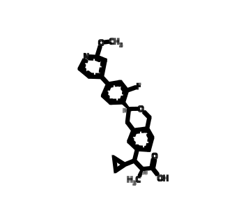 COc1cc(-c2ccc([C@@H]3Cc4cc(C(C5CC5)[C@H](C)C(=O)O)ccc4CO3)c(F)c2)ccn1